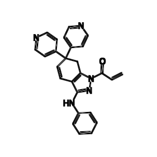 C=CC(=O)n1nc(Nc2ccccc2)c2c1CC(c1ccncc1)(c1ccncc1)C=C2